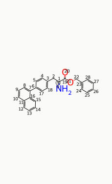 N[C@@H](Cc1ccc(-c2cccc3ccccc23)cc1)C(=O)OCc1ccccc1